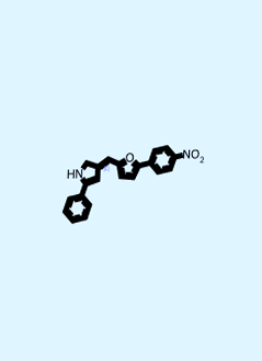 O=[N+]([O-])c1ccc(-c2ccc(/C=C3\C=C(c4ccccc4)NC3)o2)cc1